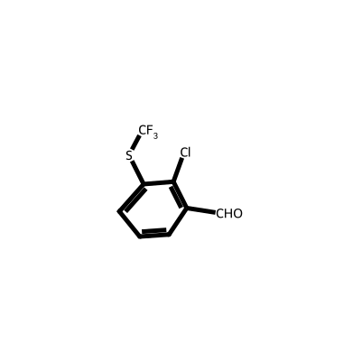 O=Cc1cccc(SC(F)(F)F)c1Cl